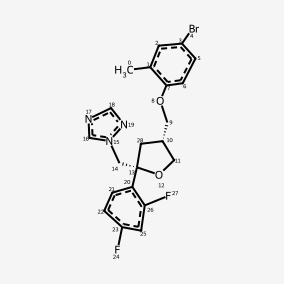 Cc1cc(Br)ccc1OC[C@@H]1CO[C@@](Cn2cncn2)(c2ccc(F)cc2F)C1